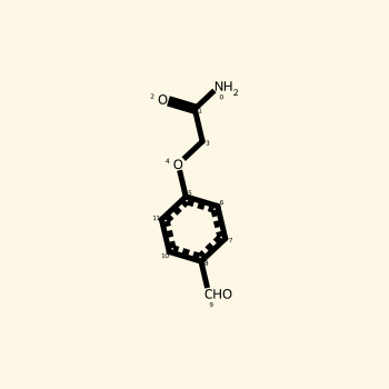 NC(=O)COc1ccc(C=O)cc1